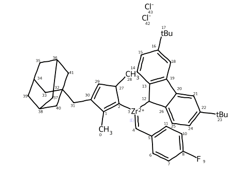 CC1=[C](/[Zr+2](=[CH]/c2ccc(F)cc2)[CH]2c3ccc(C(C)(C)C)cc3-c3cc(C(C)(C)C)ccc32)C(C)C=C1CC12CC3CC(CC(C3)C1)C2.[Cl-].[Cl-]